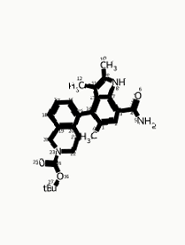 Cc1cc(C(N)=O)c2[nH]c(C)c(C)c2c1-c1cccc2c1CCN(C(=O)OC(C)(C)C)C2